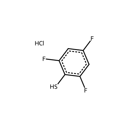 Cl.Fc1cc(F)c(S)c(F)c1